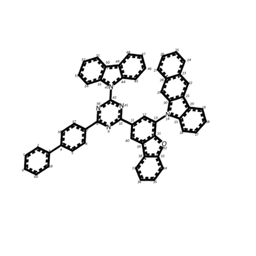 c1ccc(-c2ccc(-c3nc(-c4cc(-n5c6ccccc6c6cc7ccccc7cc65)c5oc6ccccc6c5c4)nc(-n4c5ccccc5c5ccccc54)n3)cc2)cc1